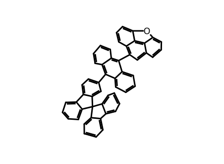 c1ccc2c(c1)-c1ccccc1C21c2ccccc2-c2ccc(-c3c4ccccc4c(-c4cc5cccc6oc7cccc4c7c56)c4ccccc34)cc21